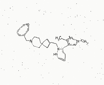 Cc1nn(C)cc1C1=CC=CNN1CC1CC2(CCN(Cc3ccccc3)CC2)C1